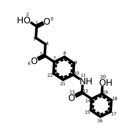 O=C(O)CCC(=O)c1ccc(NC(=O)c2ccccc2O)cc1